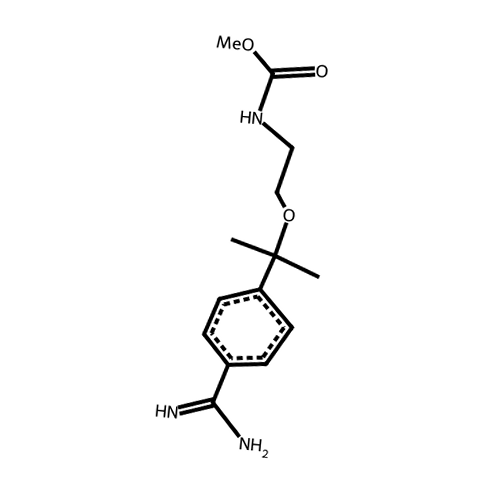 COC(=O)NCCOC(C)(C)c1ccc(C(=N)N)cc1